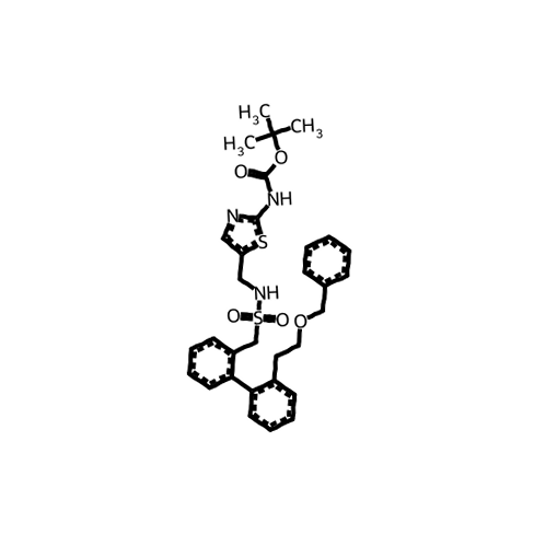 CC(C)(C)OC(=O)Nc1ncc(CNS(=O)(=O)Cc2ccccc2-c2ccccc2CCOCc2ccccc2)s1